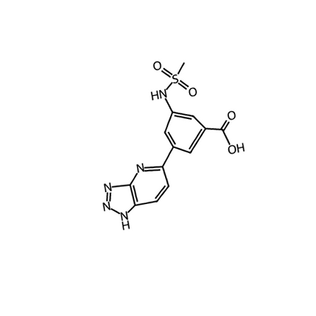 CS(=O)(=O)Nc1cc(C(=O)O)cc(-c2ccc3[nH]nnc3n2)c1